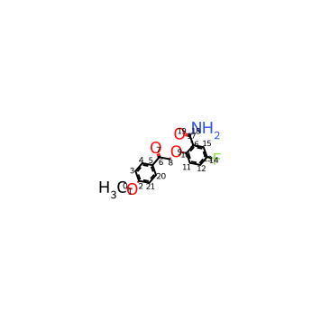 COc1ccc(C(=O)COc2ccc(F)cc2C(N)=O)cc1